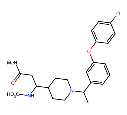 CNC(=O)CC(NC(=O)O)C1CCN(C(C)c2cccc(Oc3ccc(Cl)cc3)c2)CC1